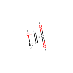 C=C.CCO.O=C=O